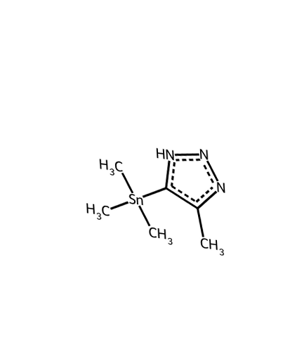 Cc1nn[nH][c]1[Sn]([CH3])([CH3])[CH3]